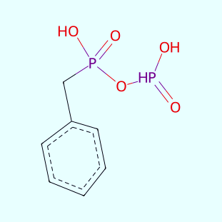 O=[PH](O)OP(=O)(O)Cc1ccccc1